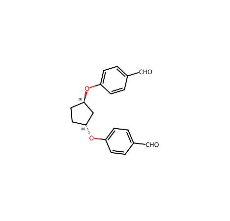 O=Cc1ccc(O[C@@H]2CC[C@@H](Oc3ccc(C=O)cc3)C2)cc1